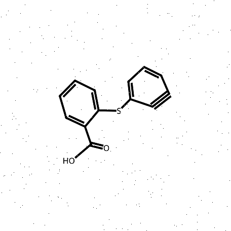 O=C(O)c1ccccc1Sc1c#cccc1